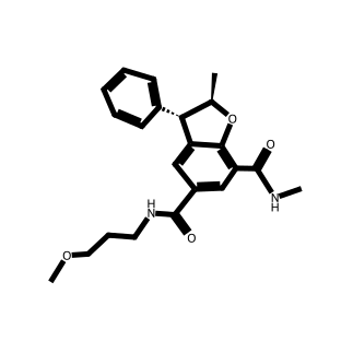 CNC(=O)c1cc(C(=O)NCCCOC)cc2c1O[C@H](C)[C@H]2c1ccccc1